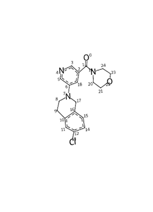 O=C(c1cncc(N2CCc3cc(Cl)ccc3C2)c1)N1CCOCC1